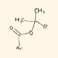 CCC(C)(C)OC(=O)C(C)=O